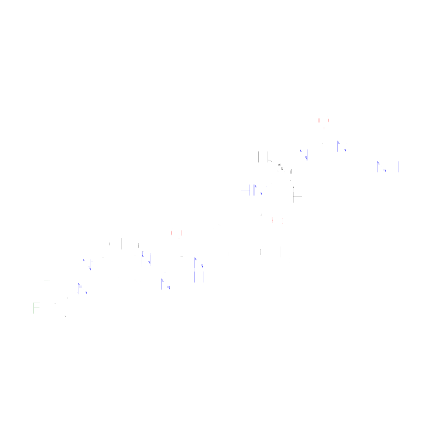 Cc1cc(NC(=O)c2ncc(-c3cn(C4CC4(F)F)nc3C(F)(F)F)n2C)ccc1C(=O)N[C@H]1[C@@H]2CN(C(=O)N3CCNCC3)C[C@@H]21